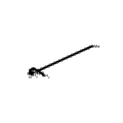 CCCCOc1nc(N)c2[nH]c(=O)n(Cc3ccc(CN4CCC(CCNC(=O)[C@H](CCCCNC(=O)CON)NC(=O)CCOCCOCCOCCOCCOCCOCCOCCOCCOCCOCCOCCOCCOCCOCCOCCOCCOCCOCCOCCOCCOCCOCCOCCOC)CC4)cc3)c2n1